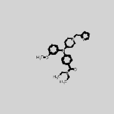 CCN(CC)C(=O)c1ccc(N(c2cccc(OC)c2)C2CCN(Cc3cccs3)CC2)cc1